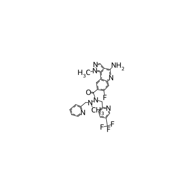 CN(Cc1ccccn1)N(Cc1ccc(C(F)(F)F)cn1)C(=O)c1cc2c(cc1F)nc(N)c1cnn(C)c12